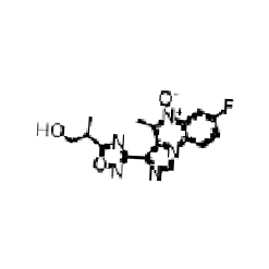 Cc1c2c(-c3noc(C(C)CO)n3)ncn2c2ccc(F)cc2[n+]1[O-]